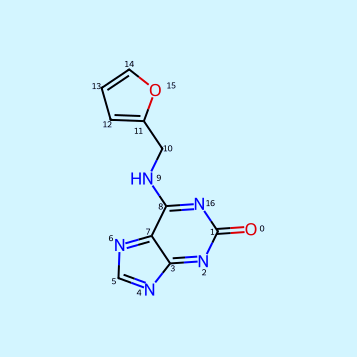 O=C1N=C2N=CN=C2C(NCc2ccco2)=N1